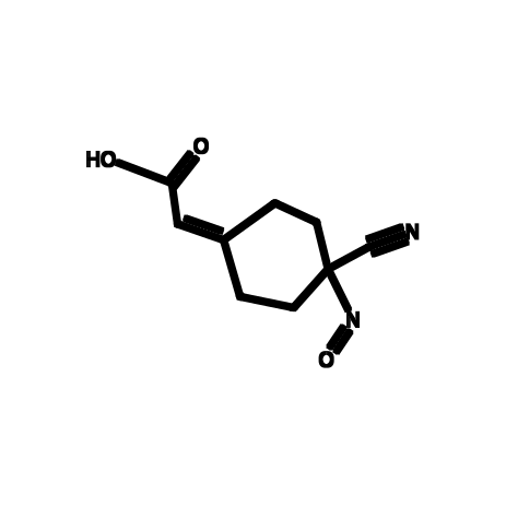 N#CC1(N=O)CCC(=CC(=O)O)CC1